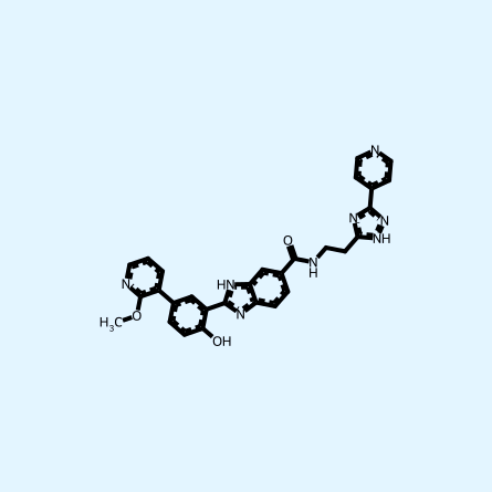 COc1ncccc1-c1ccc(O)c(-c2nc3ccc(C(=O)NCCc4nc(-c5ccncc5)n[nH]4)cc3[nH]2)c1